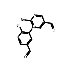 O=Cc1cnc(Br)c(-[n+]2cc(C=O)cnc2Br)c1